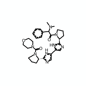 CN(C)C(C(=O)N1CCC[C@H]1c1ncc(-c2cnc([C@@H]3CCCN3C(=O)N3CCOCC3)[nH]2)[nH]1)c1ccccc1